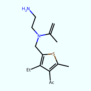 C=C(C)N(CCN)Cc1sc(C)c(C(C)=O)c1CC